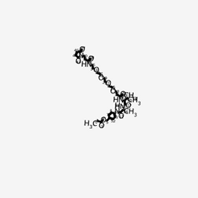 CCC(=O)OCc1ccc(NC(=O)[C@H](C)NC(=O)[C@@H](NC(=O)CCOCCOCCOCCOCCNC(=O)CCN2C(=O)C=CC2=O)C(C)C)cc1